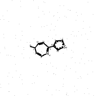 CC1C=CN=C(c2ccsc2)C=C1